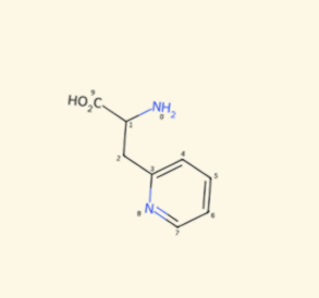 NC(Cc1ccccn1)C(=O)O